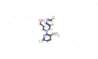 O=[N+]([O-])c1ccc(Cl)nc1N(CCCO)Cc1cnc(Cl)s1